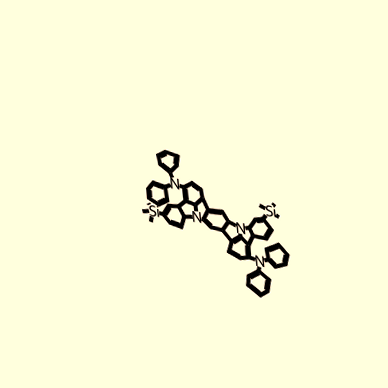 C[Si](C)(C)C1=CC2C3=C(N(c4ccccc4)c4ccccc4)C=CC4C5=CC6C(C=C5N(C2C=C1)C34)c1ccc(N(c2ccccc2)c2ccccc2)c2c1N6C1C=C([Si](C)(C)C)C=CC21